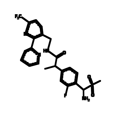 CC(C(=O)NCc1ccc(C(F)(F)F)nc1-c1ccccn1)c1ccc(C(N)S(C)(=O)=O)c(F)c1